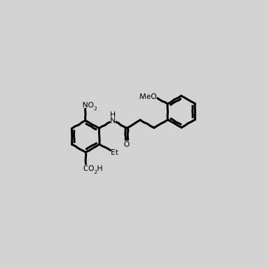 CCc1c(C(=O)O)ccc([N+](=O)[O-])c1NC(=O)CCc1ccccc1OC